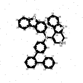 C1=C(N(c2ccc(-c3ccccc3-c3ccccc3)cc2)c2ccc3oc4ccccc4c3c2)c2c(sc3ccccc23)CN1